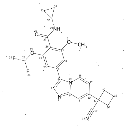 COc1cc(-c2cnc3cc(C4(C#N)CCC4)ccn23)cc(OC(F)F)c1C(=O)NC1CC1